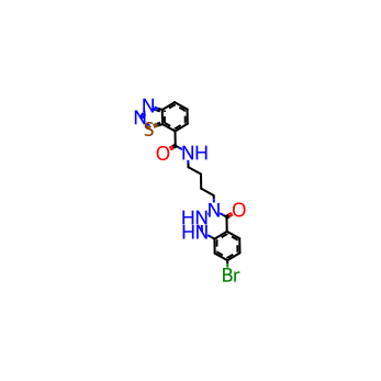 O=C(NCCCCN1NNc2cc(Br)ccc2C1=O)c1cccc2nnsc12